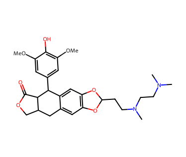 COc1cc(C2c3cc4c(cc3CC3COC(=O)C32)OC(CCN(C)CCN(C)C)O4)cc(OC)c1O